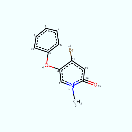 Cn1cc(Oc2ccccc2)c(Br)cc1=O